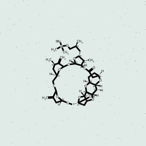 C=C1C[C@@H]2CC[C@@]34CC5O[C@H]6[C@@H](O3)[C@H]3O[C@H](CC[C@@H]3O[C@H]6[C@H]5O4)CC(=O)C[C@@H]3[C@@H](C)[C@@H](C[C@H](C)CO[Si](C)(C)C(C)(C)C)O[C@H]3CC3O[C@@H](CCC1O2)C[C@@H](C)C3=C